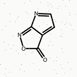 O=C1ON=C2N=CC=C12